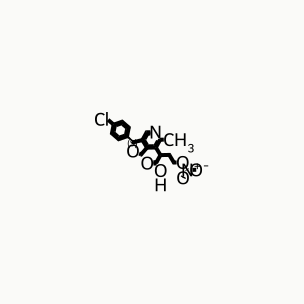 Cc1ncc2c(c1C(CCO[N+](=O)[O-])C(=O)O)CO[C@H]2c1ccc(Cl)cc1